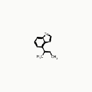 CCC(C)c1cccc2[te]ccc12